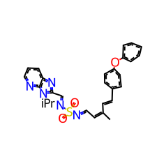 CC(C=Cc1ccc(Oc2ccccc2)cc1)=CC=NS(=O)(=O)N=Cc1nc2cccnc2n1C(C)C